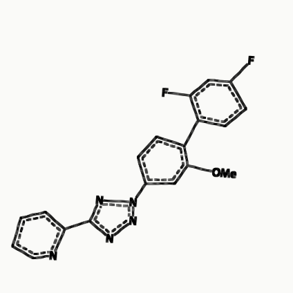 COc1cc(-n2nnc(-c3ccccn3)n2)ccc1-c1ccc(F)cc1F